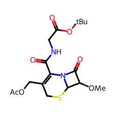 COC1C(=O)N2C(C(=O)NCC(=O)OC(C)(C)C)=C(COC(C)=O)CSC12